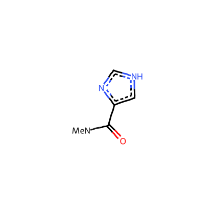 [CH2]NC(=O)c1c[nH]cn1